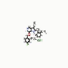 Cc1ccc(C)c(Cn2c(C)c(C)c3cncc(OCc4ccc(F)cc4)c32)c1.Cl